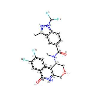 Cc1nn(C(F)F)c2ccc(C(=O)N(C)[C@@H]3COCc4[nH]c(=O)c5cc(F)c(F)cc5c43)cc12